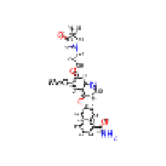 COc1cc2c(Oc3ccc4c(C(N)=O)cccc4c3)ccnc2cc1OCCCN1CC(=O)C2(CC2)C1